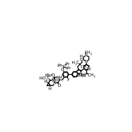 CCn1c(-c2cc(N3CCN(C)CC3)cnc2[C@H](C)OC)c(CC(C)(C)CO)c2cc(-c3cc(O[Si](C(C)C)(C(C)C)C(C)C)cc(C[C@H](NC(=O)OC(C)(C)C)C(=O)N4C[C@@H]5C[C@@H]5[C@@H](C(=O)O)N4)c3F)ccc21